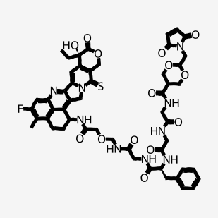 CC[C@@]1(O)C(=O)OCc2c1cc1n(c2=S)Cc2c-1nc1cc(F)c(C)c3c1c2C(NC(=O)COCNC(=O)CNC(=O)[C@H](Cc1ccccc1)NC(=O)CNC(=O)CNC(=O)C1COC(CN2C(=O)C=CC2=O)OC1)CC3